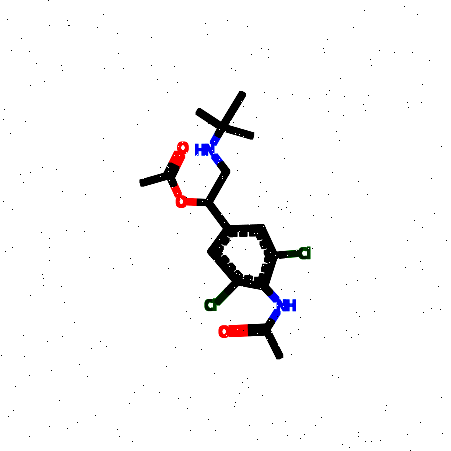 CC(=O)Nc1c(Cl)cc(C(CNC(C)(C)C)OC(C)=O)cc1Cl